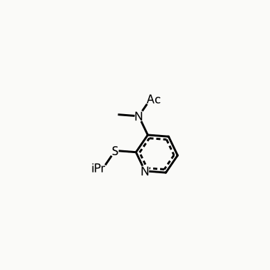 CC(=O)N(C)c1cccnc1SC(C)C